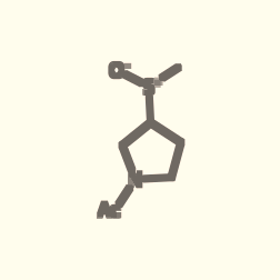 CC(=O)N1CCC([S+](C)[O-])C1